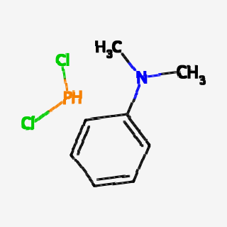 CN(C)c1ccccc1.ClPCl